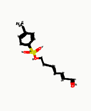 Cc1ccc(S(=O)(=O)OCCCC/C=C/C=O)cc1